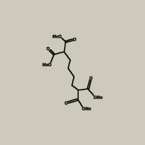 COC(=O)C(CCCCC(C(=O)OC)C(=O)OC)C(=O)OC